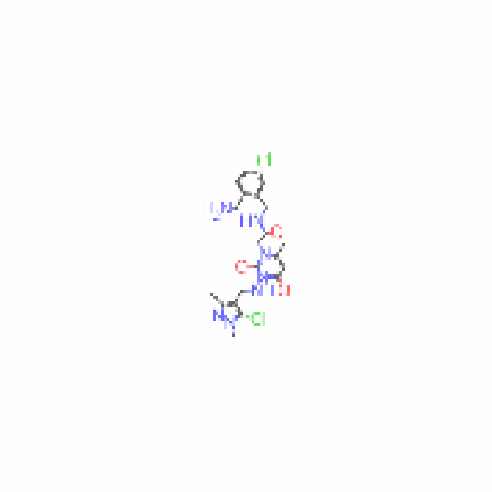 Cc1nn(C)c(Cl)c1CNn1c(=O)cc(C)n(CC(=O)NCc2cc(Cl)ccc2CN)c1=O